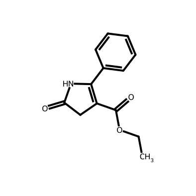 CCOC(=O)C1=C(c2ccccc2)NC(=O)C1